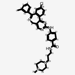 Cc1cccc(C2=NCc3cnc(Nc4ccc(C(=O)NCCCN5CCN(C)CC5)cc4)nc3-c3ccc(Cl)cc32)c1